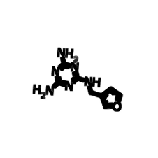 Nc1nc(N)nc(NCc2ccoc2)n1